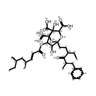 CCC(C)CC(C)/C=C/C(=O)OC1C(O)C2(CCC(CC)C(=O)C(C)Cc3ccccc3)OC(C(=O)O)C(O)(C(=O)O)C1(C(=O)O)O2